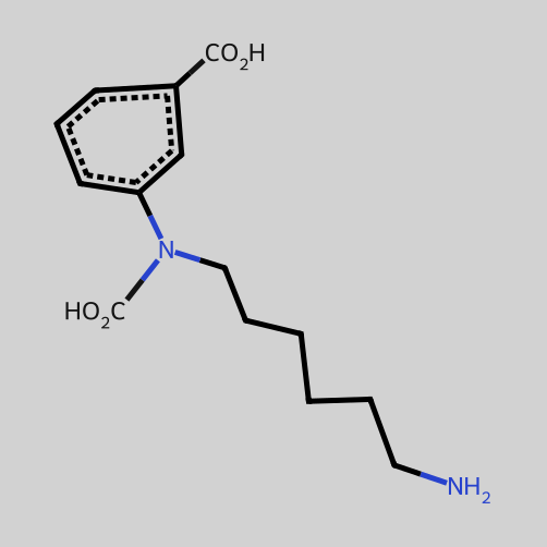 NCCCCCCN(C(=O)O)c1cccc(C(=O)O)c1